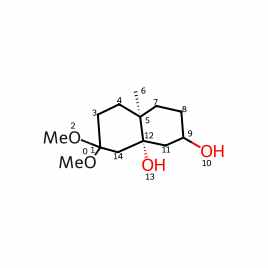 COC1(OC)CC[C@@]2(C)CCC(O)C[C@@]2(O)C1